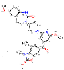 COc1ccc2c(c1)CCN(C1CCN(c3cc(C(=O)c4cc(C)c5c(c4)oc(=O)n5C)cc(OC)n3)CC1)C(=O)N2